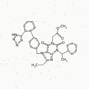 CCc1nc2c(c(=O)n(CC(=O)OC)c(=O)n2C(C)c2ccccc2)n1Cc1ccc(-c2ccccc2-c2nnn[nH]2)cc1